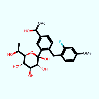 COc1ccc(Cc2ccc(C(O)OC(C)=O)cc2[C@@]2(O)O[C@H]([C@H](C)O)[C@@H](O)[C@H](O)[C@H]2O)c(F)c1